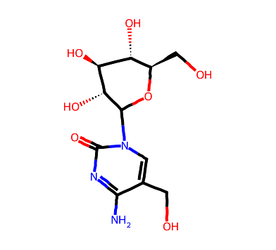 Nc1nc(=O)n(C2O[C@H](CO)[C@@H](O)[C@H](O)[C@H]2O)cc1CO